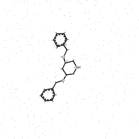 c1ccc(CO[C@@H]2CNC[C@H](OCc3ccccc3)C2)cc1